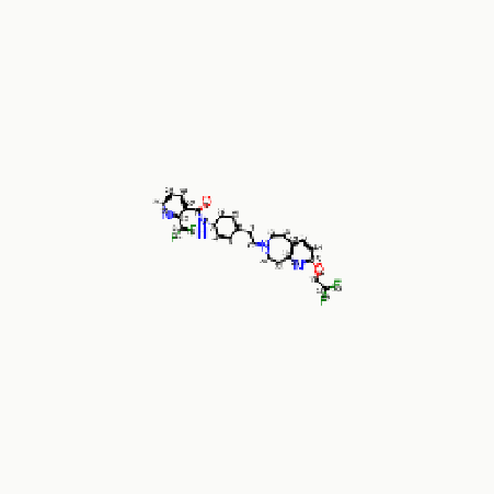 O=C(N[C@H]1CC[C@H](CCN2CCc3ccc(OCC(F)F)nc3CC2)CC1)c1cccnc1C(F)F